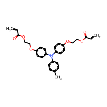 C=CC(=O)OCCOc1ccc(N(c2ccc(C)cc2)c2ccc(OCCOC(=O)C=C)cc2)cc1